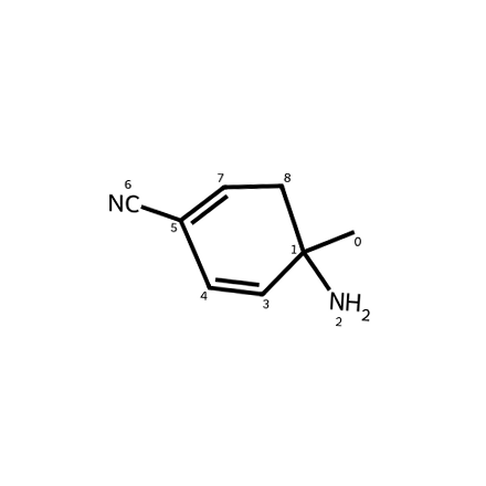 CC1(N)C=CC(C#N)=CC1